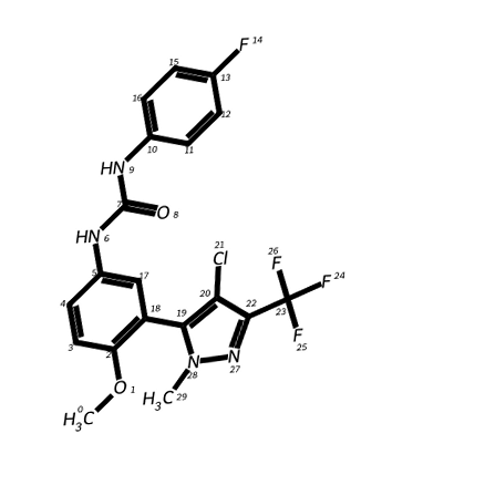 COc1ccc(NC(=O)Nc2ccc(F)cc2)cc1-c1c(Cl)c(C(F)(F)F)nn1C